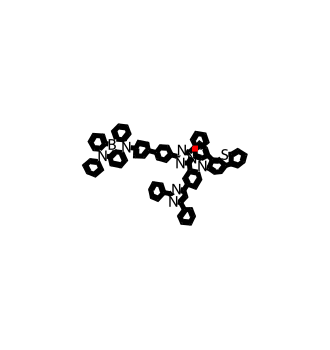 c1ccc(-c2cc(-c3ccc(-n4c5ccccc5c5c6sc7ccccc7c6ccc54)c(-c4nc(-c5ccccc5)nc(-c5ccc(-c6ccc(N7c8ccccc8B8c9ccccc9N(c9ccccc9)c9cccc7c98)cc6)cc5)n4)c3)nc(-c3ccccc3)n2)cc1